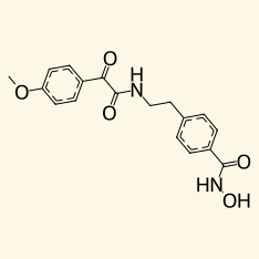 COc1ccc(C(=O)C(=O)NCCc2ccc(C(=O)NO)cc2)cc1